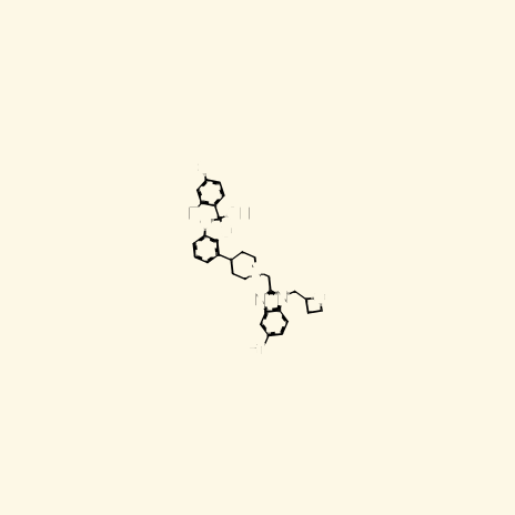 CC1(c2ccc(Cl)cc2F)Oc2cccc(C3CCN(Cc4nc5cc(Br)ccc5n4CC4CCO4)CC3)c2O1